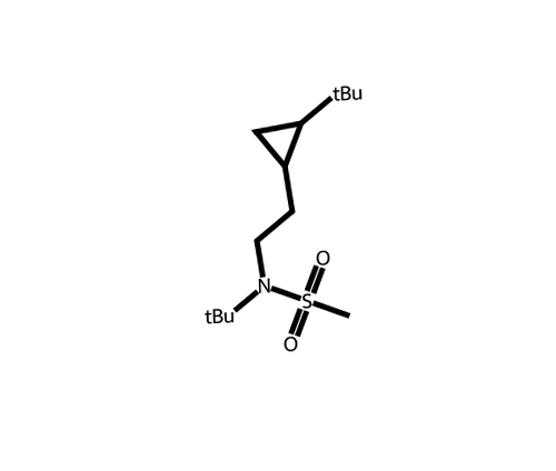 CC(C)(C)C1CC1CCN(C(C)(C)C)S(C)(=O)=O